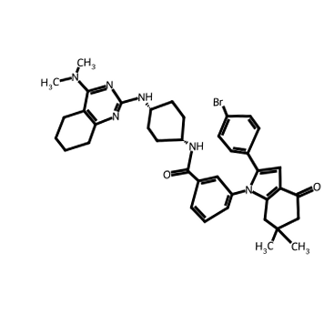 CN(C)c1nc(N[C@H]2CC[C@@H](NC(=O)c3cccc(-n4c(-c5ccc(Br)cc5)cc5c4CC(C)(C)CC5=O)c3)CC2)nc2c1CCCC2